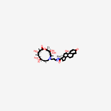 CC[C@H]1OC(=O)[C@H](C)[C@@H](O)[C@H](C)[C@@H](O)[C@](C)(O)C[C@@H](C)CN(CCCNC(=O)[C@@]2(OC)CCC3C4CCC5=CC(=O)C=C[C@]5(C)C4[C@@H](O)C[C@@]32C)[C@H](C)[C@@H](O)[C@]1(C)O